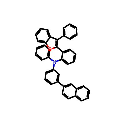 c1ccc(-c2c(-c3ccccc3N(c3ccccc3)c3cccc(-c4ccc5ccccc5c4)c3)oc3ccccc23)cc1